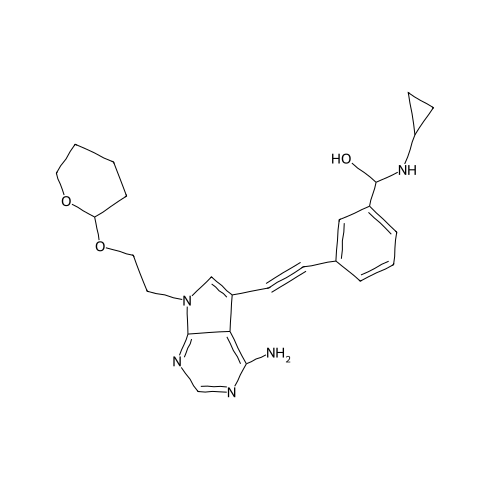 Nc1ncnc2c1c(C#Cc1cccc(C(O)NC3CC3)c1)cn2CCOC1CCCCO1